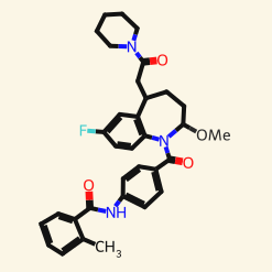 COC1CCC(CC(=O)N2CCCCC2)c2cc(F)ccc2N1C(=O)c1ccc(NC(=O)c2ccccc2C)cc1